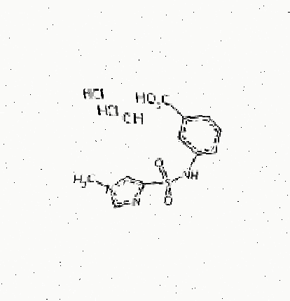 Cl.Cl.Cl.Cn1cnc(S(=O)(=O)Nc2cccc(C(=O)O)c2)c1